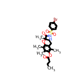 CCCC(=O)Oc1c(C)c(C)c2c(c1C)CCC(C)(C(=O)NS(=O)(=O)c1ccc(Br)cc1)O2